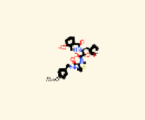 COc1ccc(CNC(=O)[C@H]2N(C(=O)[C@@H](O)[C@H](Cc3ccccc3)NC(=O)c3cccc(O)c3C)CSC2(C)C)cc1